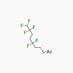 CC(=O)SCCC(F)(F)CCC(F)(F)C(F)F